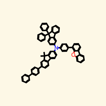 CC1(C)c2cc(-c3ccc(-c4ccccc4)cc3)ccc2-c2ccc(N(c3ccc(-c4cccc5c4oc4ccccc45)cc3)c3ccc4c(c3)-c3ccccc3C4(c3ccccc3)c3ccccc3)cc21